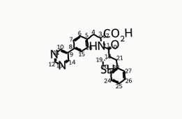 O=C(N[C@@H](Cc1ccc(-c2cncnc2)cc1)C(=O)O)[C@@H](CS)Cc1ccccc1